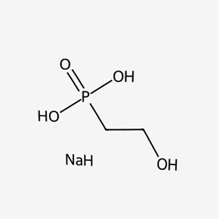 O=P(O)(O)CCO.[NaH]